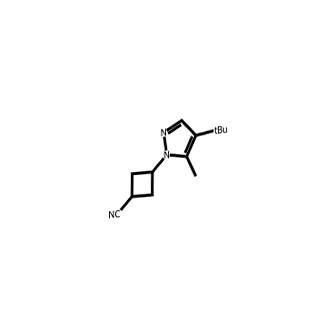 Cc1c(C(C)(C)C)cnn1C1CC(C#N)C1